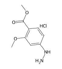 COC(=O)c1ccc(NN)cc1OC.Cl